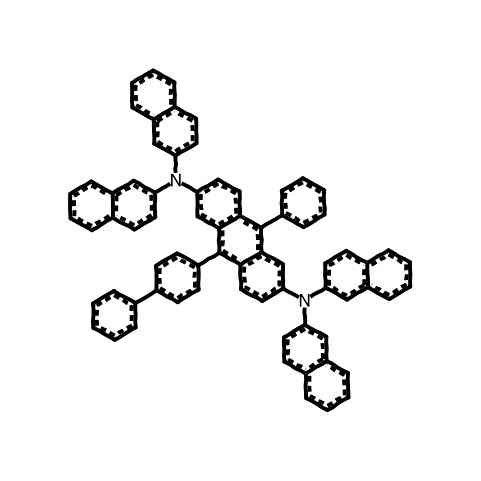 c1ccc(-c2ccc(-c3c4ccc(N(c5ccc6ccccc6c5)c5ccc6ccccc6c5)cc4c(-c4ccccc4)c4ccc(N(c5ccc6ccccc6c5)c5ccc6ccccc6c5)cc34)cc2)cc1